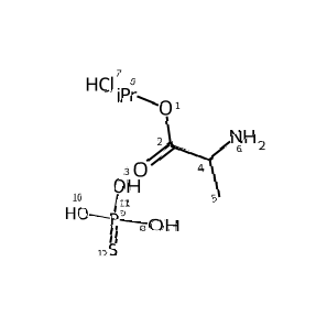 CC(C)OC(=O)C(C)N.Cl.OP(O)(O)=S